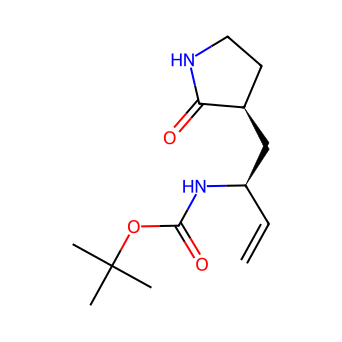 C=C[C@H](C[C@@H]1CCNC1=O)NC(=O)OC(C)(C)C